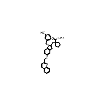 COC(=O)C1(Cc2nc3cc(OCc4ccc5ccccc5n4)ccc3n2Cc2cccc(C#N)c2)CCCC1